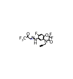 C#CCN1C(=O)C(F)(F)Oc2cc(F)c(N/N=C/C(=O)C(F)(F)F)cc21